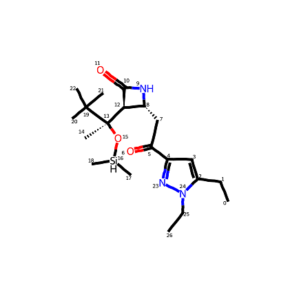 CCc1cc(C(=O)C[C@H]2NC(=O)[C@@H]2[C@@](C)(O[SiH](C)C)C(C)(C)C)nn1CC